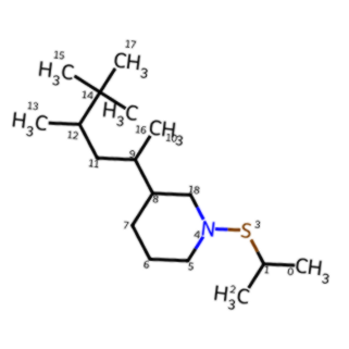 CC(C)SN1CCCC(C(C)CC(C)C(C)(C)C)C1